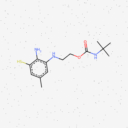 Cc1cc(S)c(N)c(NCCOC(=O)NC(C)(C)C)c1